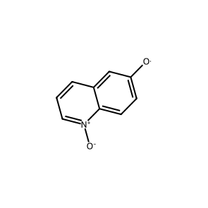 [O]c1ccc2c(ccc[n+]2[O-])c1